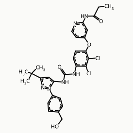 CCC(=O)Nc1cc(Oc2ccc(NC(=O)Nc3cc(C(C)(C)C)nn3-c3ccc(CO)cc3)c(Cl)c2Cl)ccn1